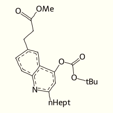 CCCCCCCc1cc(OC(=O)OC(C)(C)C)c2cc(CCC(=O)OC)ccc2n1